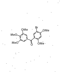 COc1cc(OC)c(C(=O)c2cc(OC)c(OC)c(OC)c2)cc1Br